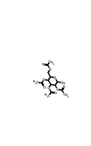 CC(=O)OCC1OC(O)C(OC(C)=O)C(OC(C)=O)C1OC(C)=O